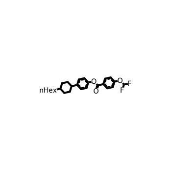 CCCCCCC1CCC(c2ccc(OC(=O)c3ccc(OC(F)F)cc3)cc2)CC1